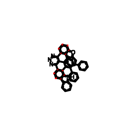 c1ccc(-c2cc(-c3ccccc3)c(-c3c(-c4ccccc4)nnnc3-c3cccc4oc5ccccc5c34)c(-c3cccc4c3[nH]c3ccccc34)c2-c2ccccc2)cc1